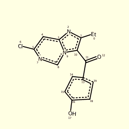 CCc1nc2cc(Cl)ncn2c1C(=O)c1ccc(O)cc1